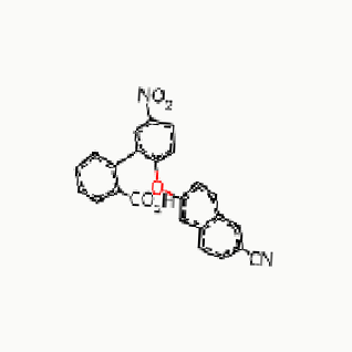 N#Cc1ccc2cc(Oc3ccc([N+](=O)[O-])cc3-c3ccccc3C(=O)O)ccc2c1